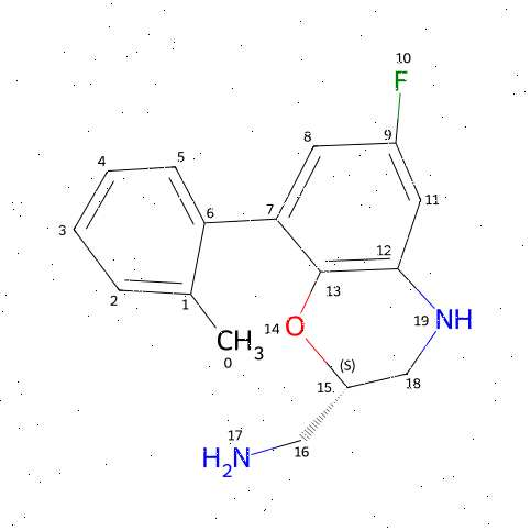 Cc1ccccc1-c1cc(F)cc2c1O[C@@H](CN)CN2